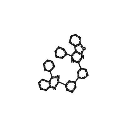 c1ccc(-c2nc(-c3cccc(-c4cccc(-c5nc(-c6ccccc6)c6c(n5)oc5ccccc56)c4)c3)nc3ccccc23)cc1